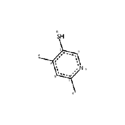 Cc1cc(C)c(S)cn1